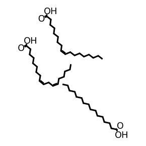 CCCCC/C=C\C/C=C\CCCCCCCC(=O)O.CCCCCCCC/C=C\CCCCCCCC(=O)O.CCCCCCCCCCCCCCCC(=O)O